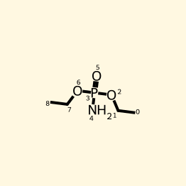 CCOP(N)(=O)OCC